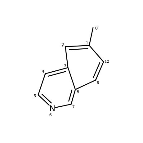 Cc1[c]c2ccncc2cc1